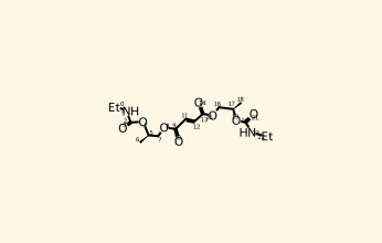 CCNC(=O)O[C@H](C)COC(=O)/C=C/C(=O)OC[C@@H](C)OC(=O)NCC